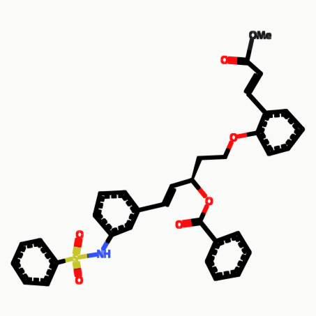 COC(=O)/C=C/c1ccccc1OCC[C@H](/C=C/c1cccc(NS(=O)(=O)c2ccccc2)c1)OC(=O)c1ccccc1